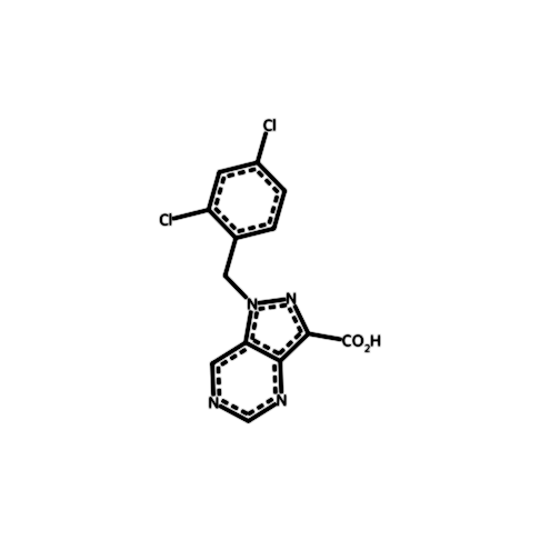 O=C(O)c1nn(Cc2ccc(Cl)cc2Cl)c2cncnc12